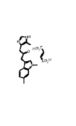 Cc1ccc2c(CC(=O)Cc3nc[nH]c3C)cn(C)c2c1.O=C(O)C=CC(=O)O